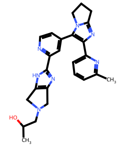 Cc1cccc(-c2nc3n(c2-c2ccnc(-c4nc5c([nH]4)CN(CC(C)O)C5)c2)CCC3)n1